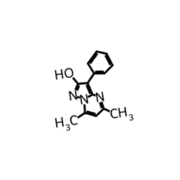 Cc1cc(C)n2nc(O)c(-c3ccccc3)c2n1